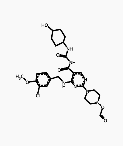 COc1ccc(CNc2nc(N3CCN(OC=O)CC3)ncc2C(=O)NC(=O)NC2CCC(O)CC2)cc1Cl